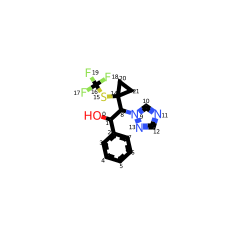 OC(c1ccccc1)C(n1cncn1)C1(SC(F)(F)F)CC1